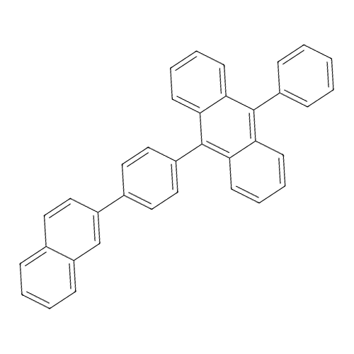 c1ccc(-c2c3ccccc3c(-c3ccc(-c4ccc5ccccc5c4)cc3)c3ccccc23)cc1